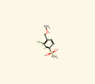 COCc1ccc(S(C)(=O)=O)cc1F